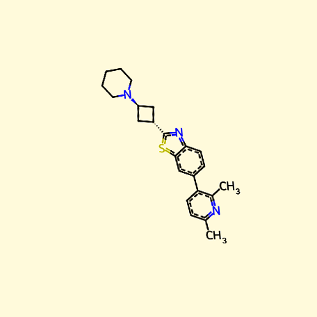 Cc1ccc(-c2ccc3nc([C@H]4C[C@H](N5CCCCC5)C4)sc3c2)c(C)n1